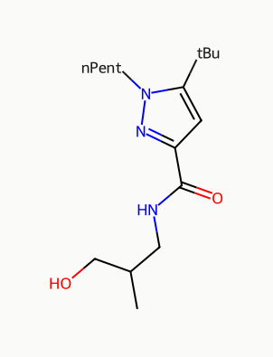 CCCCCn1nc(C(=O)NCC(C)CO)cc1C(C)(C)C